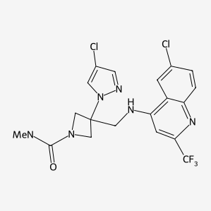 CNC(=O)N1CC(CNc2cc(C(F)(F)F)nc3ccc(Cl)cc23)(n2cc(Cl)cn2)C1